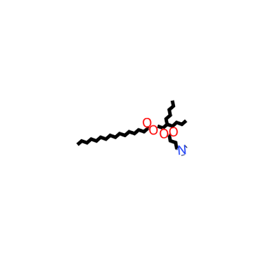 CCCCCCCCCCCCCCCC(=O)OCC(OC(=O)CCCN(C)C)C(CCCC)CCCCC